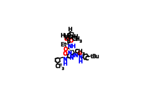 CC[C@H](NC(=O)[C@@H]1C[C@@](C)(NC(=O)Nc2ccc(C(C)(C)C)cc2)c2ncc(NCc3cccc(C(F)(F)F)c3)c(=O)n21)B1O[C@@H]2C[C@@H]3C[C@@H](C3(C)C)[C@]2(C)O1